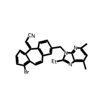 CCc1nc2c(C)cc(C)nc2n1Cc1ccc2c(c1)C=Cc1c(Br)cccc1C2=CC#N